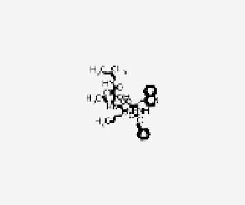 CCCC[C@H](NC(=O)[C@H](Cc1ccnc2ccccc12)NC(=O)OCc1ccccc1)C(=O)N[C@@H](CC(C)C)[C@@H](O)CC(=O)NCC(C)CC